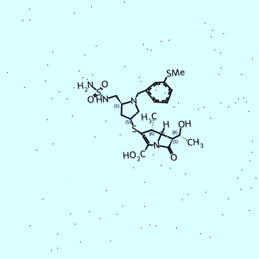 CSc1cccc(CN2C[C@@H](SC3=C(C(=O)O)N4C(=O)[C@H]([C@@H](C)O)[C@H]4[C@H]3C)C[C@H]2CNS(N)(=O)=O)c1